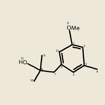 COc1cc(C)cc(CC(C)(C)O)c1